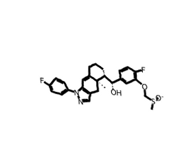 C[S+]([O-])COc1cc([C@H](O)[C@H]2CCCC3=Cc4c(cnn4-c4ccc(F)cc4)C[C@@]32C)ccc1F